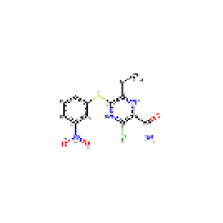 CCc1nc(C(N)=O)c(Cl)nc1Sc1cccc([N+](=O)[O-])c1